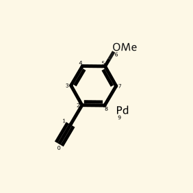 C#Cc1ccc(OC)cc1.[Pd]